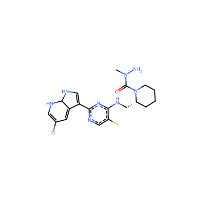 CN(N)C(=O)N1CCCC[C@@H]1CNc1nc(C2=CNC3NC=C(Cl)C=C23)ncc1F